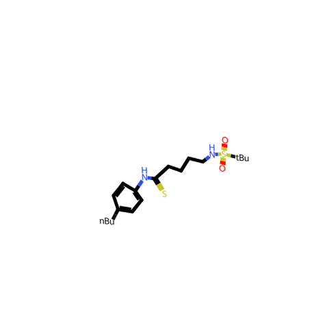 CCCCc1ccc(NC(=S)CCCCNS(=O)(=O)C(C)(C)C)cc1